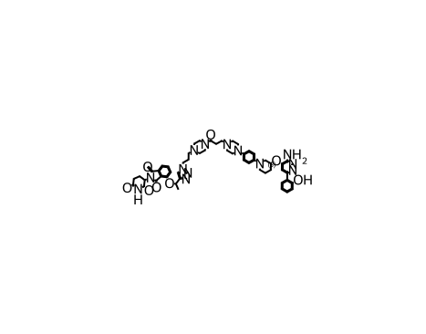 CC(Oc1cccc2c1C(=O)N(C1CCC(=O)NC1=O)C2=O)c1cn(CCCN2CCN(C(=O)CCN3CCN(c4ccc(N5CCC[C@H](Oc6cc(-c7ccccc7O)nnc6N)C5)cc4)CC3)CC2)nn1